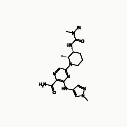 CCN(C)C(=O)N[C@@H]1CCCN(c2cnc(C(N)=O)c(Nc3cnn(C)c3)n2)[C@@H]1C